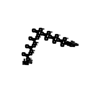 O=C([O-])[O-].O=C([O-])[O-].O=C([O-])[O-].O=C([O-])[O-].O=C([O-])[O-].O=C([O-])[O-].O=C([O-])[O-].[Ce+3].[Fe+3].[La+3].[Mg+2].[Nd+3]